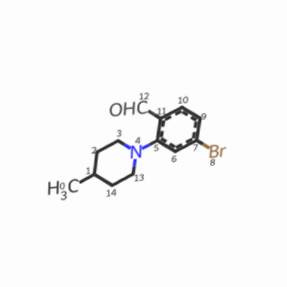 CC1CCN(c2cc(Br)ccc2C=O)CC1